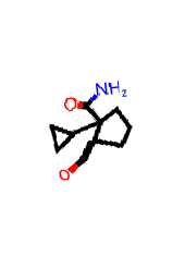 NC(=O)C1(C2CC2)CCCC1=C=O